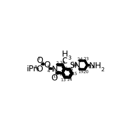 Cc1cn(COC(=O)OC(C)C)c(=O)c2cccc(SN3CCC(N)CC3)c12